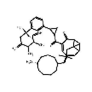 C=C(CC(C)(C)c1cccc(C2CC2C(=O)/C2=C/C(CC3CCCC[C@H](C)CCC3)=C\C3C4C(C2=O)C34CC(F)(F)F)c1)C(C)C(C)C=N